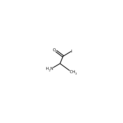 CC(N)C(=O)I